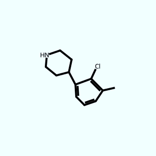 Cc1cccc(C2CCNCC2)c1Cl